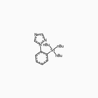 CCC[CH2][Sn]([CH2]CCC)([CH2]CCC)[c]1ccccc1-n1cncn1